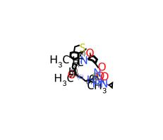 CO[C@H]1/C=C/C[C@H](C)C[S@@](=O)(NC(=O)NC2CC2)=NC(=O)c2ccc3c(c2)N(C[C@@H]2CC[C@H]21)C[C@]1(CO3)SCCc2cc(C)ccc21